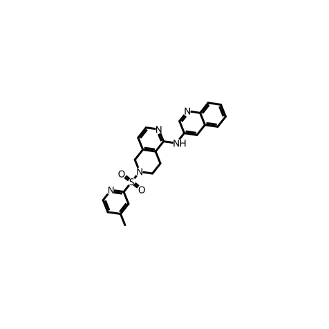 Cc1ccnc(S(=O)(=O)N2CCc3c(ccnc3Nc3cnc4ccccc4c3)C2)c1